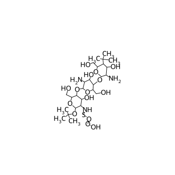 CC(C)(C)OC1OC(CO)C(OC2OC(CO)C(OC3OC(CO)C(C(C)(C)C)C(O)C3N)C(O)C2N)C(O)C1NSOOO